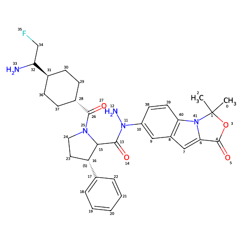 CC1(C)OC(=O)c2cc3cc(N(N)C(=O)C4[C@H](c5ccccc5)CCN4C(=O)[C@H]4CC[C@H](C(N)CF)CC4)ccc3n21